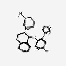 N[C@@H]1CCCN([C@H]2CCc3ccccc3[C@@H]2Oc2ccc(F)cc2-c2ccno2)C1